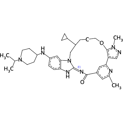 Cc1cc2cc(n1)-c1cnn(C)c1OCCCC(C1CC1)CN1/C(=N/C2=O)Nc2ccc(NC3CCN(C(C)C)CC3)cc21